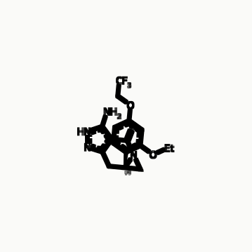 CCOc1cc(OCC(F)(F)F)ccc1[C@@]12Cc3n[nH]c(N)c3C(=O)N1C2